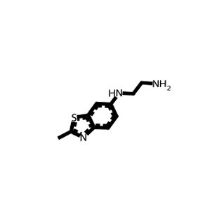 Cc1nc2ccc(NCCN)cc2s1